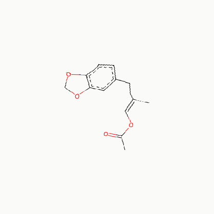 CC(=O)OC=C(C)Cc1ccc2c(c1)OCO2